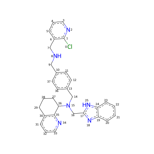 Clc1ncccc1CNCc1ccc(CN(Cc2nc3ccccc3[nH]2)C2CCCc3cccnc32)cc1